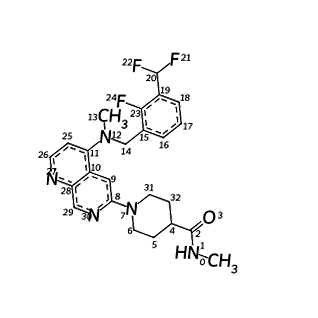 CNC(=O)C1CCN(c2cc3c(N(C)Cc4cccc(C(F)F)c4F)ccnc3cn2)CC1